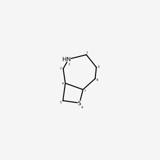 C1CNCC2CSC2C1